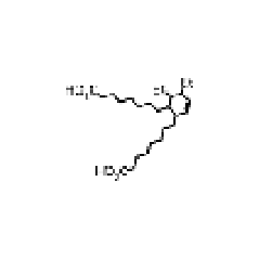 CCC1C=CC(CCCCCCCC(=O)O)C(CCCCCCCC(=O)O)C1CC